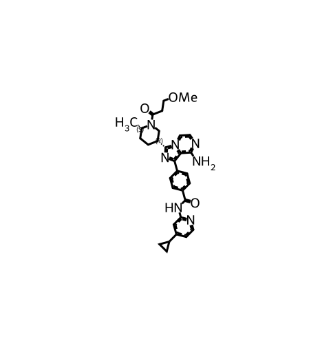 COCCC(=O)N1C[C@H](c2nc(-c3ccc(C(=O)Nc4cc(C5CC5)ccn4)cc3)c3c(N)nccn23)CC[C@@H]1C